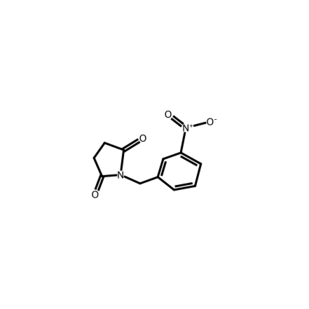 O=C1CCC(=O)N1Cc1cccc([N+](=O)[O-])c1